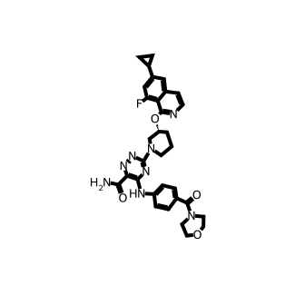 NC(=O)c1nnc(N2CCC[C@@H](Oc3nccc4cc(C5CC5)cc(F)c34)C2)nc1Nc1ccc(C(=O)N2CCOCC2)cc1